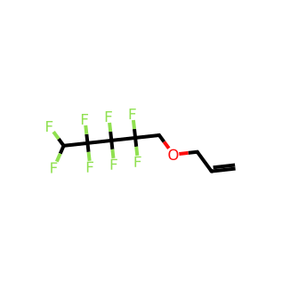 C=CCOCC(F)(F)C(F)(F)C(F)(F)C(F)F